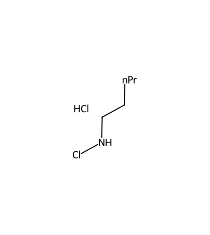 CCCCCNCl.Cl